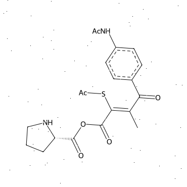 CC(=O)Nc1ccc(C(=O)C(C)=C(SC(C)=O)C(=O)OC(=O)[C@@H]2CCCN2)cc1